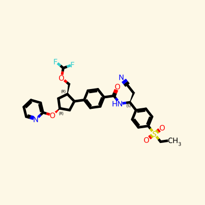 CCS(=O)(=O)c1ccc([C@H](CC#N)NC(=O)c2ccc(C3C[C@@H](Oc4ccccn4)C[C@H]3COC(F)F)cc2)cc1